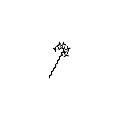 CCCCCCCCCCCCCCC(OC(C)C)C(OC(C)C)C(COC(C)C)N(C(C)C)C(C)C